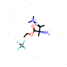 CCOC(=O)C(C)(N)C(C)=C=[N+](C)C.F[B-](F)(F)F